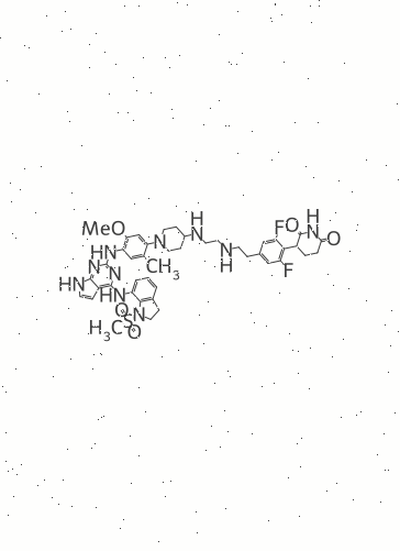 COc1cc(N2CCC(NCCNCCc3cc(F)c(C4CCC(=O)NC4=O)c(F)c3)CC2)c(C)cc1Nc1nc(Nc2cccc3c2N(S(C)(=O)=O)CC3)c2cc[nH]c2n1